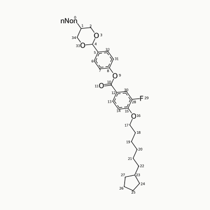 CCCCCCCCCC1COC(c2ccc(OC(=O)c3ccc(OCCCCCCC4CCCC4)c(F)c3)cc2)OC1